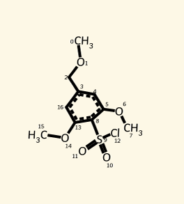 COCc1cc(OC)c(S(=O)(=O)Cl)c(OC)c1